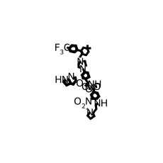 CN1CCCC1CCNc1ccc(S(=O)(=O)NC(=O)c2ccc(N3CCN(CC4=C(c5ccc(C(F)(F)F)cc5)CC(C)(C)CC4)CC3)cc2Oc2cnc3[nH]ccc3c2)cc1[N+](=O)[O-]